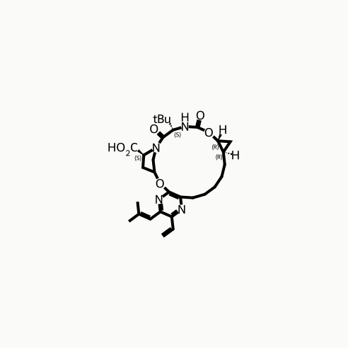 C=Cc1nc2c(nc1C=C(C)C)OC1C[C@@H](C(=O)O)N(C1)C(=O)[C@H](C(C)(C)C)NC(=O)O[C@@H]1C[C@H]1CCCCC2